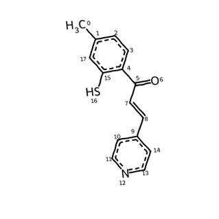 Cc1ccc(C(=O)C=Cc2ccncc2)c(S)c1